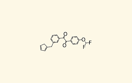 O=C(C(=O)c1cccc(CC2=CC=CC2)c1)c1ccc(OC(F)F)cc1